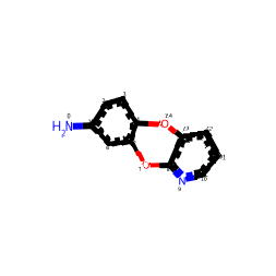 Nc1ccc2c(c1)Oc1ncccc1O2